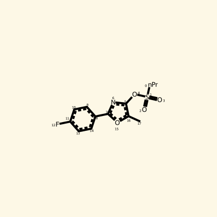 CCCS(=O)(=O)Oc1nc(-c2ccc(F)cc2)oc1C